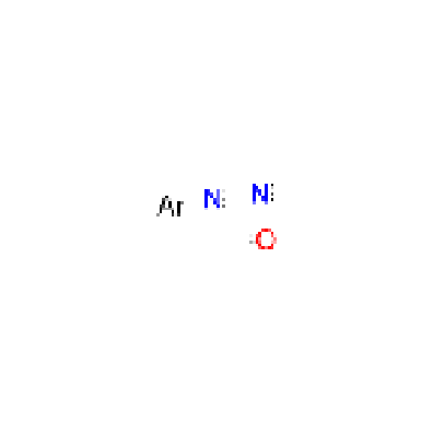 [Ar].[N].[N].[O]